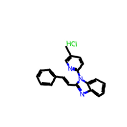 Cc1ccc(-n2c(C=Cc3ccccc3)nc3ccccc32)nc1.Cl